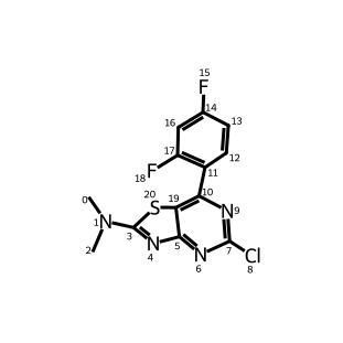 CN(C)c1nc2nc(Cl)nc(-c3ccc(F)cc3F)c2s1